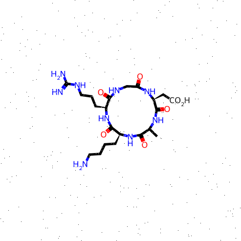 CC1NC(=O)[C@H](CC(=O)O)NC(=O)CNC(=O)[C@H](CCCNC(=N)N)NC(=O)[C@H](CCCCN)NC1=O